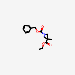 CCOC(=O)C1(C)CN(C(=O)OCc2ccccc2)C1